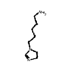 NCCCCCN1C=NCC1